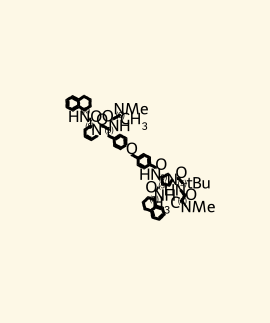 CN[C@@H](C)C(=O)N[C@@H](Cc1ccc(OCc2ccc(C(=O)N[C@@H]3CN(C(=O)[C@@H](NC(=O)[C@H](C)NC)C(C)(C)C)C[C@@H]3C(=O)N[C@@H]3CCCc4ccccc43)cc2)cc1)C(=O)N1CC=CC[C@H]1C(=O)N[C@@H]1CCCc2ccccc21